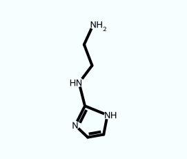 NCCNc1ncc[nH]1